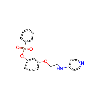 O=S(=O)(Oc1cccc(OCCNc2ccncc2)c1)c1ccccc1